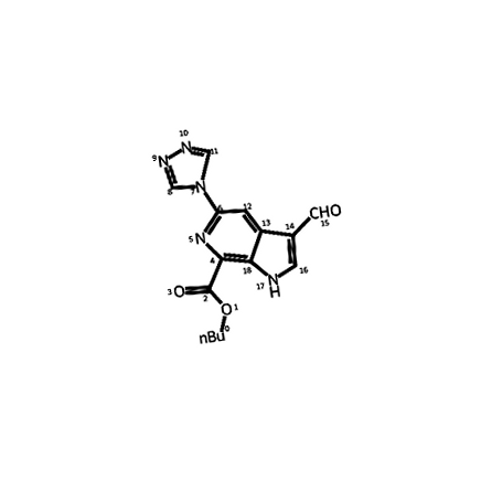 CCCCOC(=O)c1nc(-n2cnnc2)cc2c(C=O)c[nH]c12